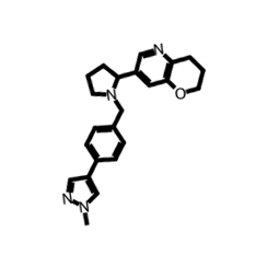 Cn1cc(-c2ccc(CN3CCCC3c3cnc4c(c3)OCCC4)cc2)cn1